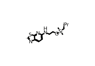 CC(C)C[Si](C)(C)OCCNc1ccc2n[c]sc2n1